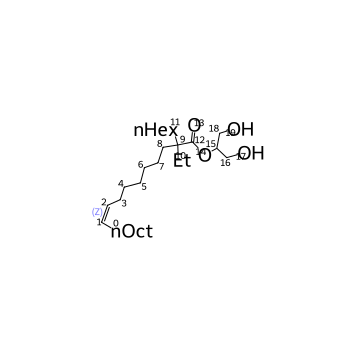 CCCCCCCC/C=C\CCCCCCC(CC)(CCCCCC)C(=O)OC(CO)CO